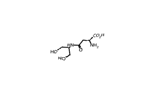 N[C@@H](CC(=O)NC(CO)CO)C(=O)O